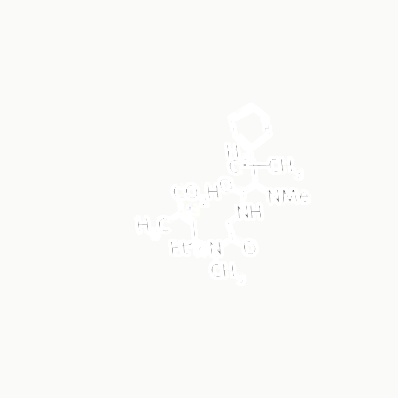 CC[C@@H](/C=C(\C)C(=O)O)N(C)C(=O)CNC(=O)C(NC)C(C)(C)c1ccccc1